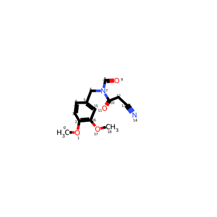 COc1ccc(CN([C]=O)C(=O)CC#N)cc1OC